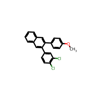 COc1ccc(-c2[c]c3ccccc3cc2-c2ccc(Cl)c(Cl)c2)cc1